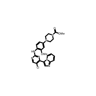 COC(=O)N1CCN(c2ccc(Nc3ncc(Cl)c(-c4cnc5ccccn45)n3)c(OC)c2)CC1